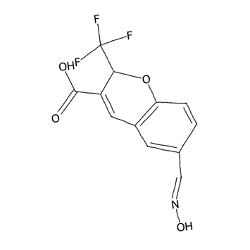 O=C(O)C1=Cc2cc(C=NO)ccc2OC1C(F)(F)F